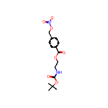 CC(C)(C)OC(=O)NCCOC(=O)c1ccc(CO[N+](=O)[O-])cc1